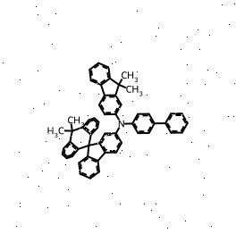 CC1(C)c2ccccc2-c2ccc(N(c3ccc(-c4ccccc4)cc3)c3ccc4c(c3)C3(c5ccccc5-4)c4ccccc4C(C)(C)c4ccccc43)cc21